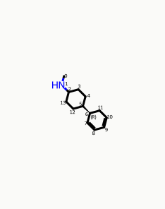 CNC1CCC([C@@H]2C=CC=CC2)CC1